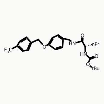 CCC[C@H](NC(=O)OC(C)(C)C)C(=O)NCc1ccc(OCc2ccc(C(F)(F)F)cc2)cc1